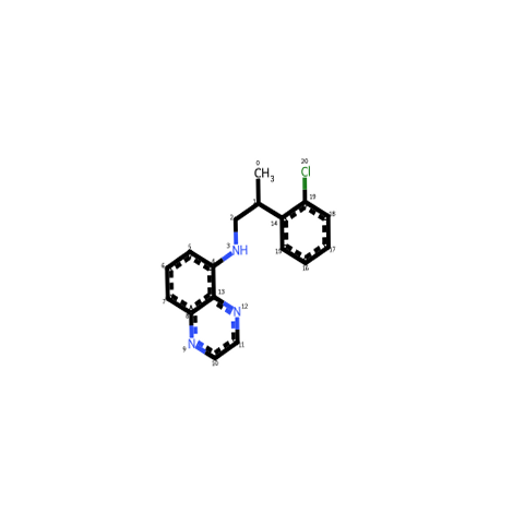 CC(CNc1cccc2nccnc12)c1ccccc1Cl